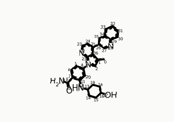 Cc1cn(-c2ccc(C(N)=O)c(NC3CCC(O)CC3)c2)c2nccc(-c3cnc4ccccc4c3)c12